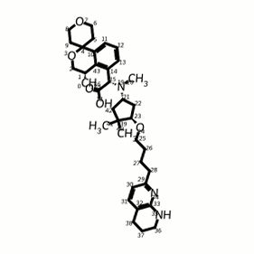 C[C@@H]1COC2(CCOCC2)c2cccc([C@@H](C(=O)O)N(C)[C@@H]3C[C@@H](OCCCCc4ccc5c(n4)NCCC5)C(C)(C)C3)c21